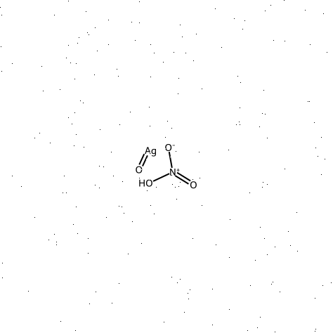 O=[N+]([O-])O.[O]=[Ag]